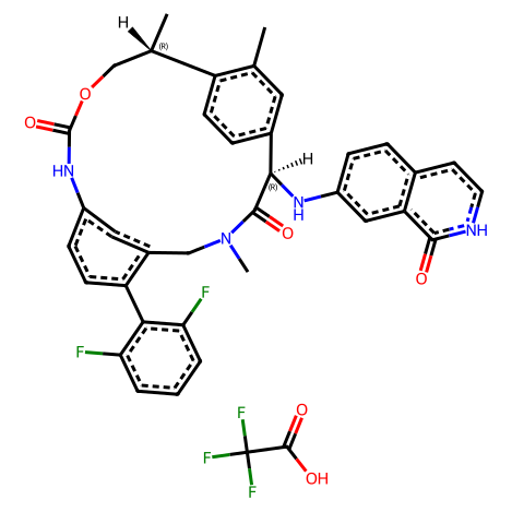 Cc1cc2ccc1[C@@H](C)COC(=O)Nc1ccc(-c3c(F)cccc3F)c(c1)CN(C)C(=O)[C@@H]2Nc1ccc2cc[nH]c(=O)c2c1.O=C(O)C(F)(F)F